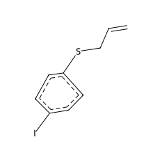 C=CCSc1ccc(I)cc1